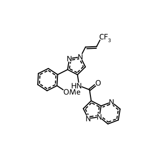 COc1ccccc1-c1nn(C=CC(F)(F)F)cc1NC(=O)c1cnn2cccnc12